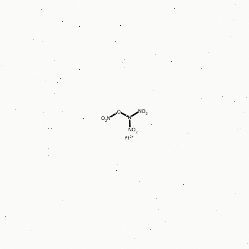 O=[N+]([O-])ON([N+](=O)[O-])[N+](=O)[O-].[Pt+2]